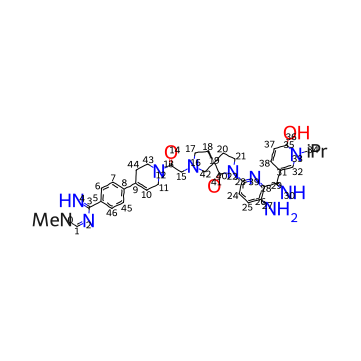 CN/C=N\C(=N)c1ccc(C2=CCN(C(=O)CN3CC[C@]4(CCN(c5ccc(N)c(C(=N)C6=CN(C(C)C)C(O)C=C6)n5)C4=O)C3)CC2)cc1